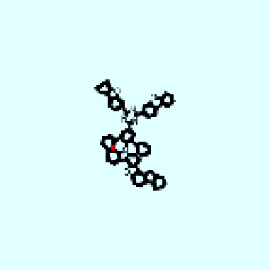 c1ccc(-c2cc(-c3nc(-c4ccc5c(c4)oc4ccccc45)nc(-c4ccc5c(c4)oc4ccccc45)n3)cc(-c3ccccc3)c2-n2c3ccccc3c3c4oc5ccc6c(c5c4ccc32)Cc2ccccc2-6)cc1